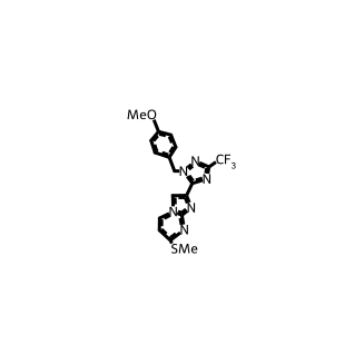 COc1ccc(Cn2nc(C(F)(F)F)nc2-c2cn3ccc(SC)nc3n2)cc1